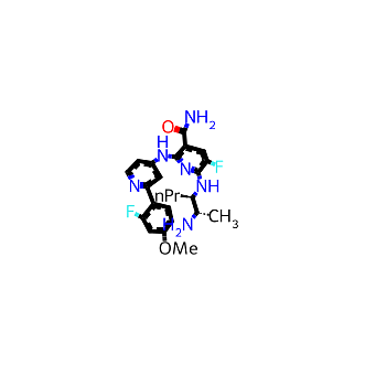 CCC[C@@H](Nc1nc(Nc2ccnc(-c3ccc(OC)cc3F)c2)c(C(N)=O)cc1F)[C@H](C)N